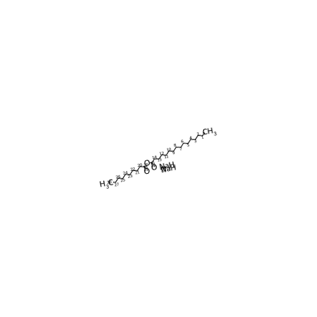 CCCCCCCCCCCCCCCC(=O)OC(=O)CCCCCCCCC.[NaH].[NaH]